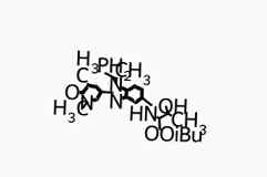 Cc1cc(-c2nc3cc(CNC(C(=O)OCC(C)C)C(C)O)ccc3n2C(C)CP)cn(C)c1=O